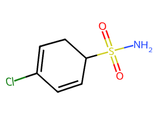 NS(=O)(=O)C1C=CC(Cl)=CC1